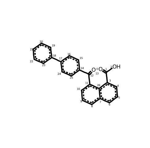 O=C(O)c1cccc2cccc(C(=O)c3ccc(-c4ccccc4)cc3)c12